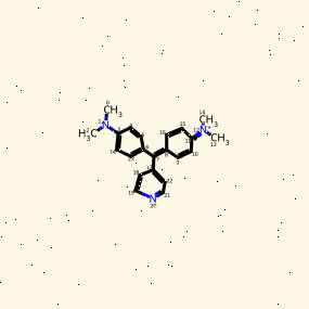 CN(C)c1ccc(C(=C2C=CC(=[N+](C)C)C=C2)c2ccncc2)cc1